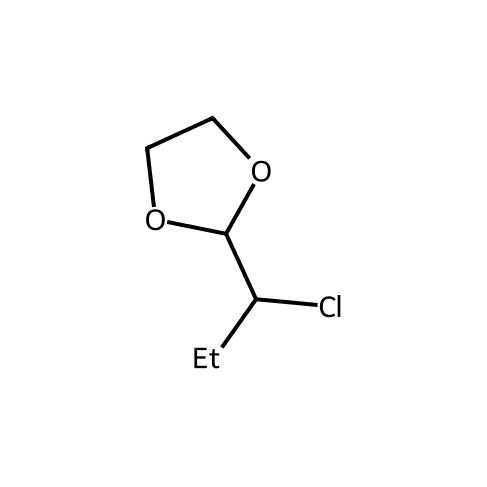 CCC(Cl)C1OCCO1